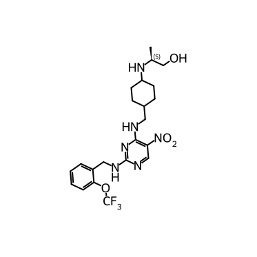 C[C@@H](CO)NC1CCC(CNc2nc(NCc3ccccc3OC(F)(F)F)ncc2[N+](=O)[O-])CC1